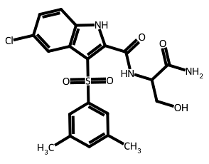 Cc1cc(C)cc(S(=O)(=O)c2c(C(=O)NC(CO)C(N)=O)[nH]c3ccc(Cl)cc23)c1